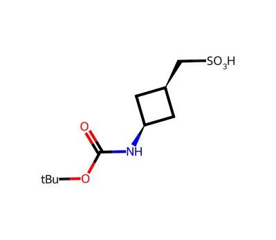 CC(C)(C)OC(=O)N[C@H]1C[C@@H](CS(=O)(=O)O)C1